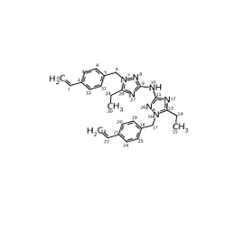 C=Cc1ccc(Cn2nc(Nc3nc(CC)n(Cc4ccc(C=C)cc4)n3)nc2CC)cc1